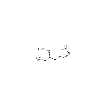 O=COC(Cc1cn[nH]c1)CC(F)(F)F